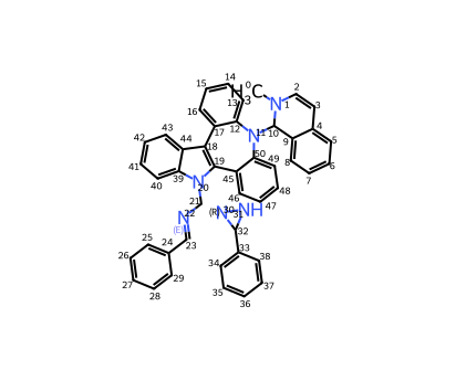 CN1C=Cc2ccccc2C1N1c2ccccc2-c2c(n(C(/N=C/c3ccccc3)[N@@]3NC3c3ccccc3)c3ccccc23)-c2ccccc21